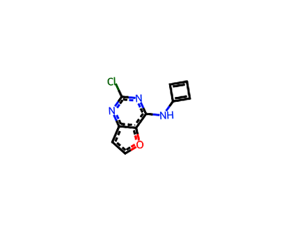 Clc1nc(NC2=CC=C2)c2occc2n1